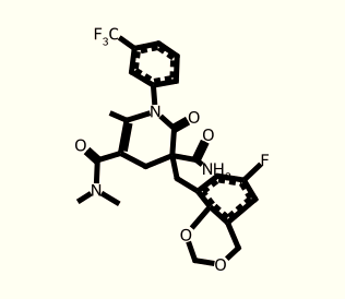 CC1=C(C(=O)N(C)C)CC(Cc2cc(F)cc3c2OCOC3)(C(N)=O)C(=O)N1c1cccc(C(F)(F)F)c1